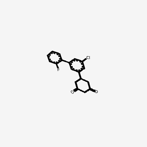 O=C1CC(=O)CC(c2cc(Cl)cc(-c3ccccc3F)c2)C1